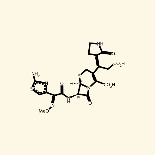 CON=C(C(=O)N[C@@H]1C(=O)N2C(C(=O)O)=C(C(CC(=O)O)=C3CCNC3=O)CS[C@H]12)c1csc(N)n1